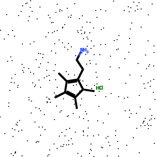 CC1=C(C)C(C)C(CCN)=C1C.Cl